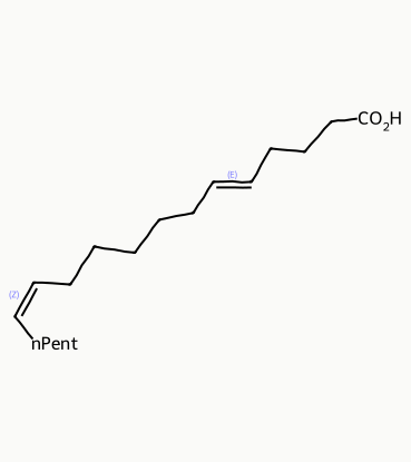 CCCCC/C=C\CCCCC/C=C/CCCC(=O)O